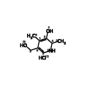 CC1=C(O)C(C)NC=C1CO.Cl